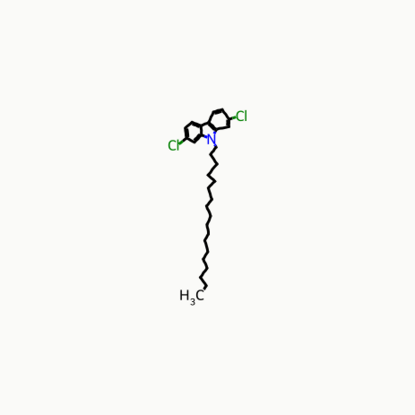 CCCCCCCCCCCCCCCCCCn1c2cc(Cl)ccc2c2ccc(Cl)cc21